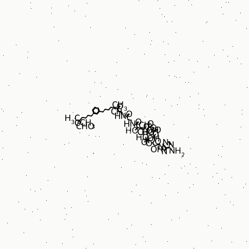 CC(C)(CCCCc1cccc(CCCCC(C)(C)C(=O)CCNC(=O)CCNC(=O)C(O)C(C)(C)COP(=O)(O)OP(=O)(O)OCC2OC(n3cnc4c(N)ncnc43)C(O)C2OP(=O)(O)O)c1)OC=O